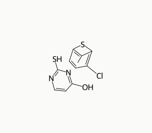 Cc1c2ccc(Cl)c1S2.Oc1ccnc(S)n1